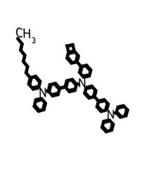 CCCCCCCCc1ccc(N(c2ccccc2)c2ccc(-c3ccc(N(c4ccc(-c5ccc(N(c6ccccc6)c6ccccc6)cc5)cc4)c4cccc(-c5ccc6c(c5)CC6)c4)cc3)cc2)cc1